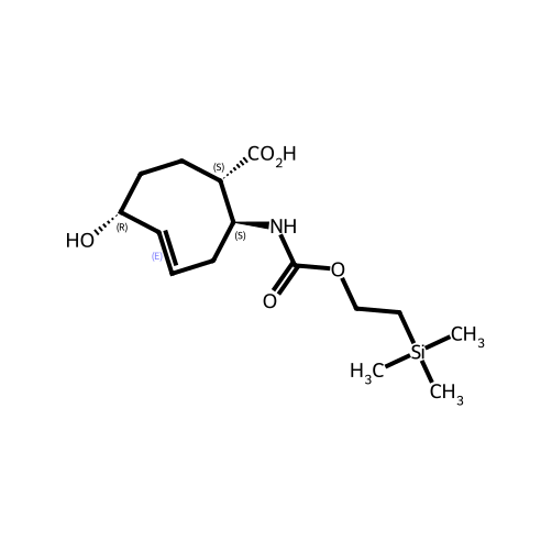 C[Si](C)(C)CCOC(=O)N[C@H]1C/C=C/[C@H](O)CC[C@@H]1C(=O)O